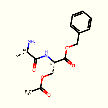 C[C@H](N)C(=O)N[C@@H](COC(=O)C(F)(F)F)C(=O)OCc1ccccc1